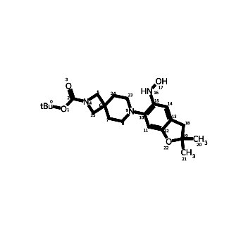 CC(C)(C)OC(=O)N1CC2(CCN(c3cc4c(cc3NO)CC(C)(C)O4)CC2)C1